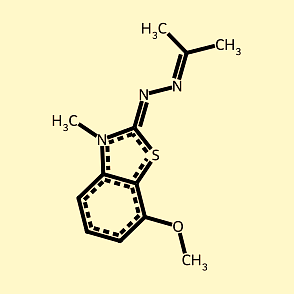 COc1cccc2c1sc(=NN=C(C)C)n2C